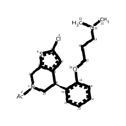 CC(=O)N1Cc2sc(Cl)cc2[C@@H](c2ccccc2OCCCN(C)C)C1